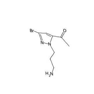 CC(=O)c1cc(Br)nn1CCCN